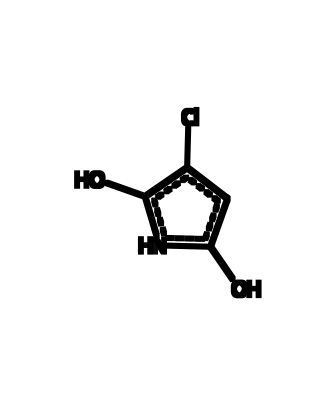 Oc1cc(Cl)c(O)[nH]1